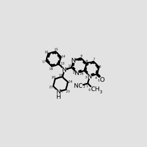 CC(C#N)n1c(=O)ccc2cnc(N(c3ccccc3)C3CCNCC3)nc21